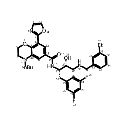 CCCCN1CCOc2c(-c3ncco3)cc(C(=O)N[C@@H](Cc3cc(F)cc(F)c3)[C@H](O)CNCc3cccc(CC)c3)cc21